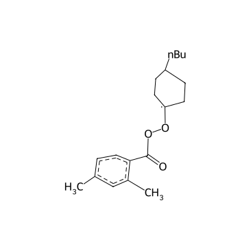 CCCCC1CC[C](OOC(=O)c2ccc(C)cc2C)CC1